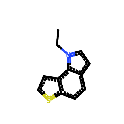 CCn1ccc2ccc3sccc3c21